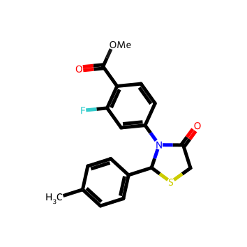 COC(=O)c1ccc(N2C(=O)CSC2c2ccc(C)cc2)cc1F